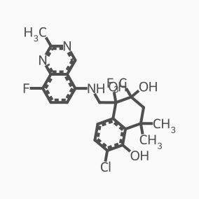 Cc1ncc2c(NCC3(O)c4ccc(Cl)c(O)c4C(C)(C)CC3(O)C(F)(F)F)ccc(F)c2n1